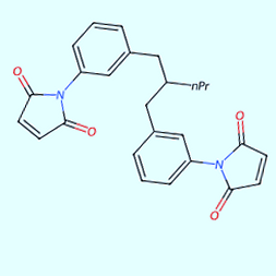 CCCC(Cc1cccc(N2C(=O)C=CC2=O)c1)Cc1cccc(N2C(=O)C=CC2=O)c1